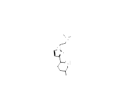 CC1CCC(c2ccn(CCN(C)C)n2)NC1